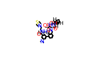 COc1c(CN2O[C@@H](CO)[C@H]([C@H](C)O)[C@H]2C(=O)N[C@H]2C[C@H]3C[C@@H]([C@@H]2C)C3(C)C)cccc1-c1cc(C(=O)NCCN2CCSCC2)cc(N(C)C)c1